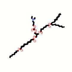 CCCCCCC=CCOC(=O)CCCCCCCC(=O)OCC(COC(=O)CCCCCC(=O)OC(CCCCCCCC)CCCCCCCC)COC(=O)OCCCN(CC)CC